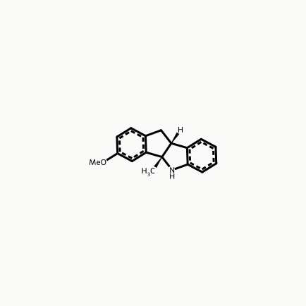 COc1ccc2c(c1)[C@@]1(C)Nc3ccccc3[C@H]1C2